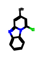 CCCc1cc(Cl)n2c(c1)nc1ccccc12